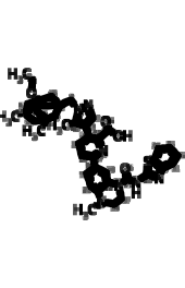 CCOC12CC3(C)CC(Cn4ncc(-c5ccc(-c6ccc7c(c6)N(C(=O)Nc6nc8ccccc8s6)CCN7C)nc5C(=O)O)c4C)(C1)C[C@@](C)(C3)C2